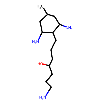 CC1CC(N)C(CCCC(O)CCCN)C(N)C1